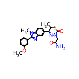 COc1cccc(-c2nc3cc(C4=NN(CC(N)=O)C(=O)SC4C)ccc3n2C)c1